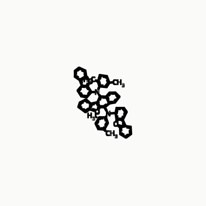 Cc1ccc(C)c(N(c2cccc3c2oc2ccccc23)c2c3ccccc3c(N(c3cc(C)ccc3C)c3cccc4c3oc3ccccc34)c3c2oc2ccccc23)c1